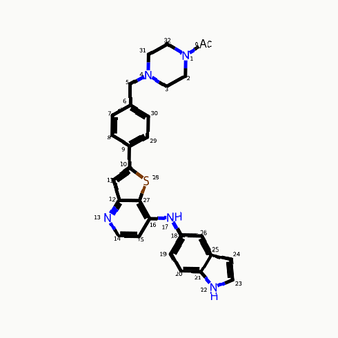 CC(=O)N1CCN(Cc2ccc(-c3cc4nccc(Nc5ccc6[nH]ccc6c5)c4s3)cc2)CC1